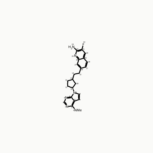 CNc1ncnc2c1ccn2[C@H]1CCC(CCc2ccc3cc(F)c(N)nc3c2)C1